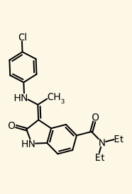 CCN(CC)C(=O)c1ccc2c(c1)/C(=C(\C)Nc1ccc(Cl)cc1)C(=O)N2